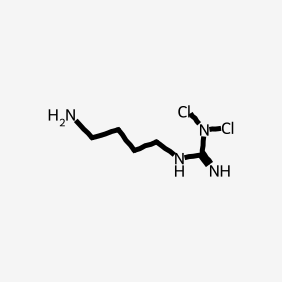 N=C(NCCCCN)N(Cl)Cl